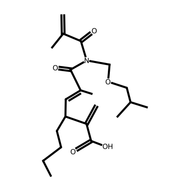 C=C(C)C(=O)N(COCC(C)C)C(=O)C(C)=CC(CCCC)C(=C)C(=O)O